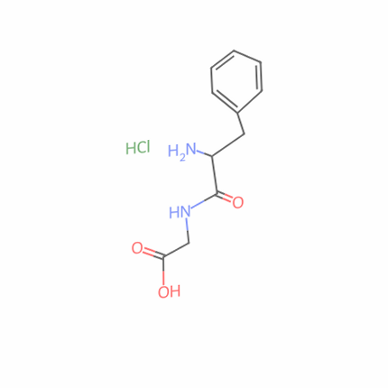 Cl.NC(Cc1ccccc1)C(=O)NCC(=O)O